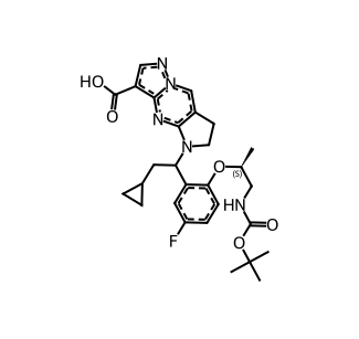 C[C@@H](CNC(=O)OC(C)(C)C)Oc1ccc(F)cc1C(CC1CC1)N1CCc2cn3ncc(C(=O)O)c3nc21